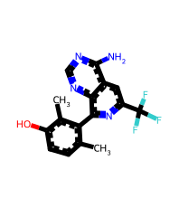 Cc1ccc(O)c(C)c1-c1nc(C(F)(F)F)cc2c(N)ncnc12